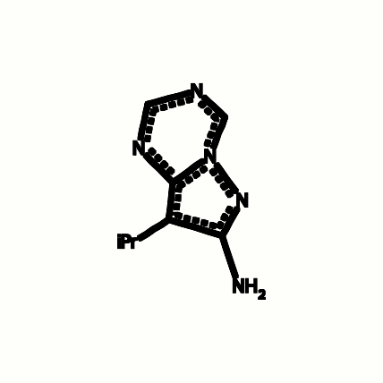 CC(C)c1c(N)nn2cncnc12